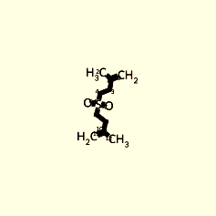 C=C(C)CCS(=O)(=O)CCC(=C)C